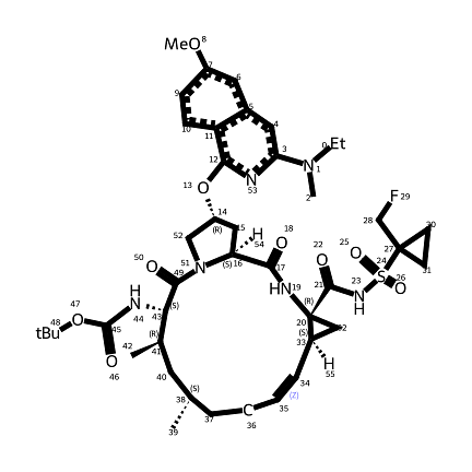 CCN(C)c1cc2cc(OC)ccc2c(O[C@@H]2C[C@H]3C(=O)N[C@]4(C(=O)NS(=O)(=O)C5(CF)CC5)C[C@H]4/C=C\CC[C@H](C)C[C@@H](C)[C@H](NC(=O)OC(C)(C)C)C(=O)N3C2)n1